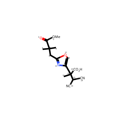 COC(=O)C(C)(C)Cc1nc(C(C)(C(=O)O)C(C#N)C#N)co1